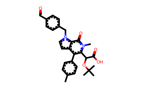 Cc1ccc(-c2c(C(OC(C)(C)C)C(=O)O)n(C)c(=O)c3c2ccn3Cc2ccc(C=O)cc2)cc1